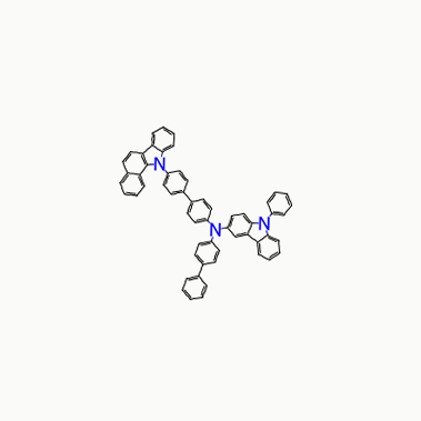 c1ccc(-c2ccc(N(c3ccc(-c4ccc(-n5c6ccccc6c6ccc7ccccc7c65)cc4)cc3)c3ccc4c(c3)c3ccccc3n4-c3ccccc3)cc2)cc1